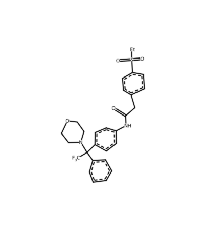 CCS(=O)(=O)c1ccc(CC(=O)Nc2ccc(C(c3ccccc3)(N3CCOCC3)C(F)(F)F)cc2)cc1